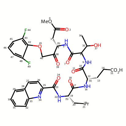 COC(=O)C[C@H](NC(=O)C(NC(=O)[C@H](CCC(=O)O)NC(=O)[C@H](CC(C)C)NC(=O)c1ccc2ccccc2n1)C(C)O)C(=O)COc1c(F)cccc1F